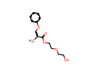 CC(=COc1ccccc1)C(=O)OCCOCCO